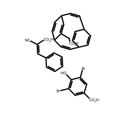 N#CC(=Cc1ccccc1)C(=O)O.O=C(O)CC1=CC2C=CC1/C=C\C1C=CC(C=C1)/C=C\2.O=C(O)c1cc(Br)c(O)c(Br)c1